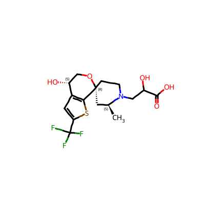 C[C@H]1C[C@@]2(CCN1CC(O)C(=O)O)OC[C@@H](O)c1cc(C(F)(F)F)sc12